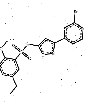 CCc1ccc(OC)c(S(=O)(=O)Nc2cc(-c3cccc(Br)c3)no2)c1